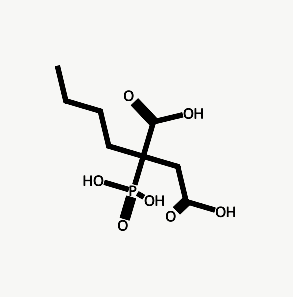 CCCCC(CC(=O)O)(C(=O)O)P(=O)(O)O